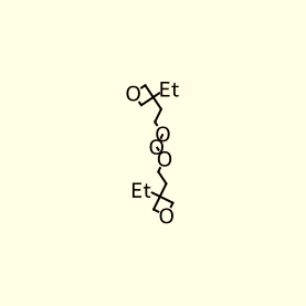 CCC1(CCOOOCCC2(CC)COC2)COC1